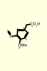 C=Nc1cc(CC(=O)O)ccc1OC